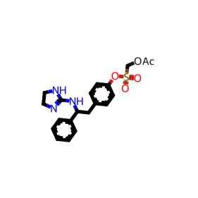 CC(=O)OCS(=O)(=O)Oc1ccc(CC(NC2=NCCN2)c2ccccc2)cc1